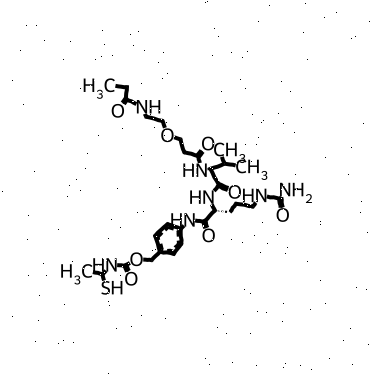 CCC(=O)NCCOCCC(=O)N[C@@H](C(=O)N[C@H](CCCNC(N)=O)C(=O)Nc1ccc(COC(=O)NC(C)S)cc1)C(C)C